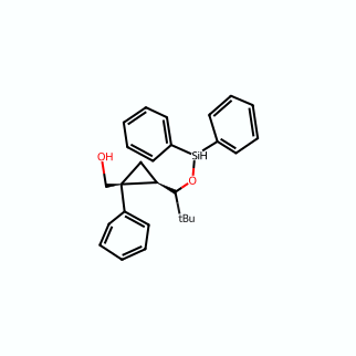 CC(C)(C)C(O[SiH](c1ccccc1)c1ccccc1)[C@@H]1C[C@@]1(CO)c1ccccc1